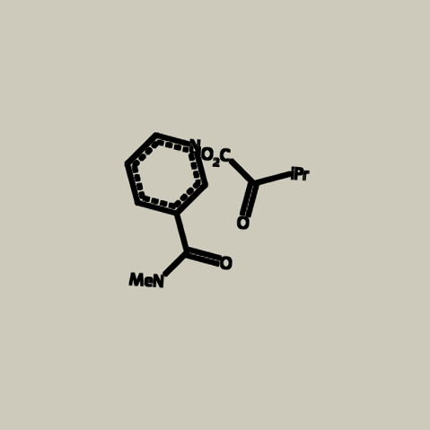 CC(C)C(=O)C(=O)O.CNC(=O)c1cccnc1